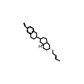 C=Cc1ccc2c(c1)CCC(C1CCC3C[C@H](CC/C=C/C)CC[C@@H]3C1)C2